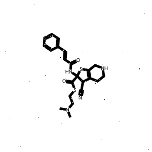 CN(C)CCSC(=O)C1(NC(=O)C=Cc2ccccc2)SC2=C(CCNC2)C1C#N